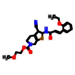 CCOc1ccccc1/C=C/C(=O)NC1SC2=C(CCN(C(=O)OCCOC)C2)C1C#N